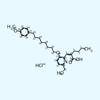 CCCCC(=Cc1nc(CO)ccc1OCCCCCCCCc1ccc(OC)cc1)C(=O)O.Cl